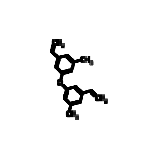 C=Cc1cc(C)cc(Oc2cc(C)cc(C=C)c2)c1